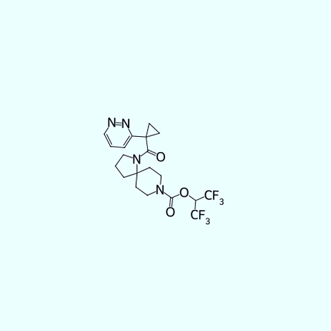 O=C(OC(C(F)(F)F)C(F)(F)F)N1CCC2(CCCN2C(=O)C2(c3cccnn3)CC2)CC1